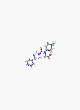 O=C(N1CCN(c2ccncc2)CC1)N1CCOc2cc(Cl)ccc21